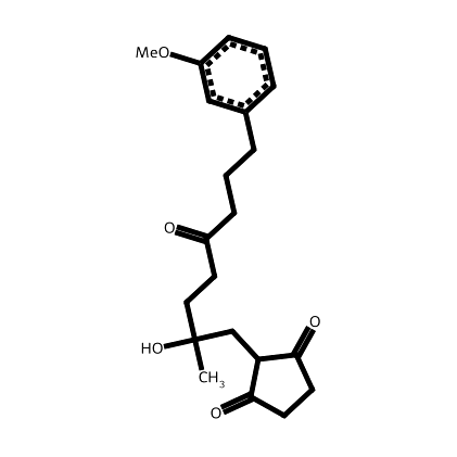 COc1cccc(CCCC(=O)CCC(C)(O)CC2C(=O)CCC2=O)c1